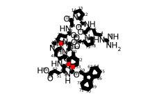 N=C(N)NCCC[C@H](NC(=O)[C@@H]1CCCN1C(=O)CNC(=O)[C@@H]1CCCN1C(=O)[C@H](Cc1ccccc1)NC(=O)[C@H](Cc1c[nH]cn1)NC(=O)[C@H](CCC(=O)O)NC(=O)OCC1c2ccccc2-c2ccccc21)C(=O)N1CCC[C@H]1C(=O)O